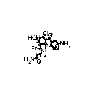 CC[C@@H](N[C@H](C)CC(N)=O)c1ccc(Cl)c(C(=O)c2ccnc(N)c2)c1F.Cl